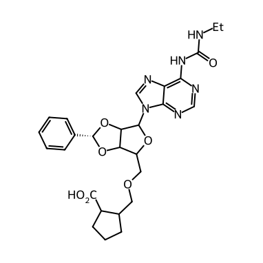 CCNC(=O)Nc1ncnc2c1ncn2C1OC(COCC2CCCC2C(=O)O)C2O[C@H](c3ccccc3)OC21